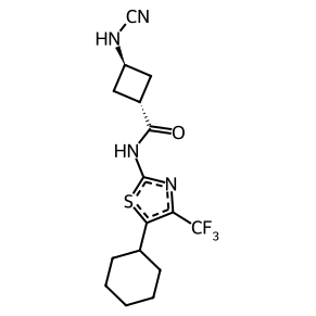 N#CN[C@H]1C[C@H](C(=O)Nc2nc(C(F)(F)F)c(C3CCCCC3)s2)C1